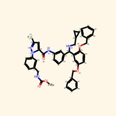 CC(C)(C)OC(=O)NCc1cccc(-n2nc(C(F)(F)F)cc2C(=O)Nc2cccc(C(NCC3CC3)c3cc(OCc4ccccc4)ccc3OCc3ccccc3)c2)c1